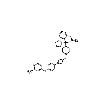 CCN1Cc2ccccc2C(C2CCCC2)(C2CCN(CC3CN(c4ccc(Sc5ccnc(C)c5)cc4)C3)CC2)C1